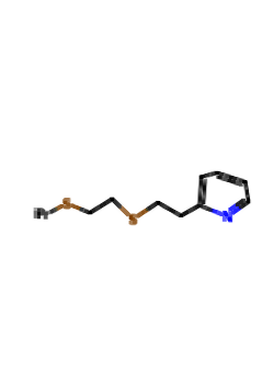 CC(C)SCCSCCc1ccccn1